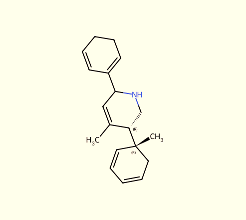 CC1=CC(C2=CCCC=C2)NC[C@@H]1[C@@]1(C)C=CC=CC1